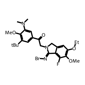 CCOc1cc2c(c(F)c1OC)/C(=N/Br)N(CC(=O)c1cc(N(C)C)c(OC)c(C(C)(C)C)c1)C2